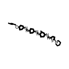 CC#CCOc1ccc(N=Nc2ccc(N=Nc3ccc(N=Nc4ccc(N5CCCCC5)s4)cc3C)cc2)cc1